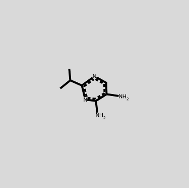 CC(C)c1ncc(N)c(N)n1